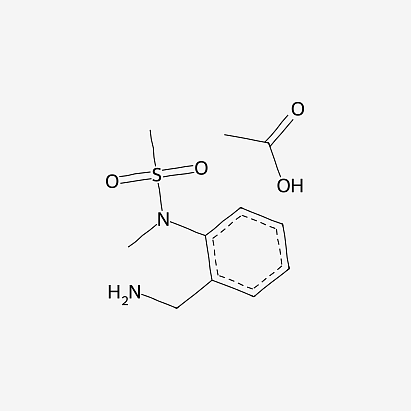 CC(=O)O.CN(c1ccccc1CN)S(C)(=O)=O